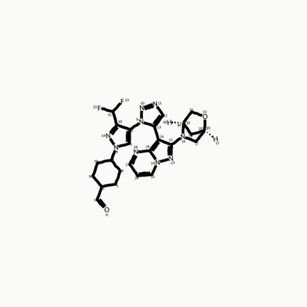 O=CC1CCC(n2cc(-n3nncc3-c3c(N4C[C@H]5C[C@@H]4CO5)nn4cccnc34)c(C(F)F)n2)CC1